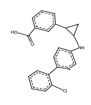 O=C(O)c1cccc(C2CC2Nc2ccc(-c3ccccc3Cl)nc2)c1